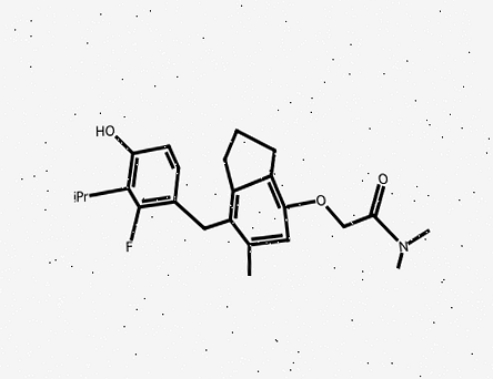 Cc1cc(OCC(=O)N(C)C)c2c(c1Cc1ccc(O)c(C(C)C)c1F)CCC2